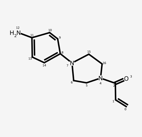 C=CC(=O)N1CCN(c2ccc(N)cc2)CC1